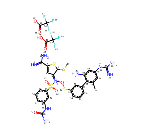 CSC1SC(C(=N)N)=CC1=[N+](OSc1cccc(-c2c(C)cc(NC(=N)N)cc2N)c1)S(=O)(=O)c1cccc(NC(N)=O)c1.O=C(O)C(F)(F)F.O=C(O)C(F)(F)F